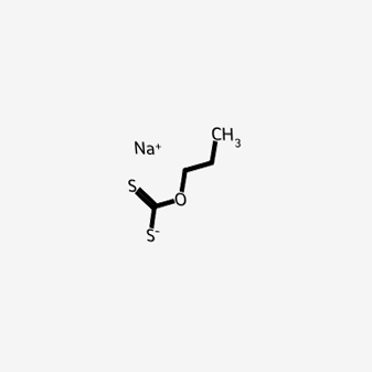 CCCOC(=S)[S-].[Na+]